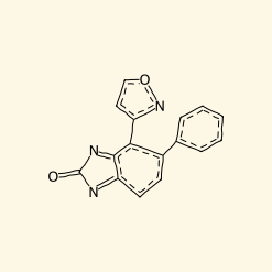 O=C1N=c2ccc(-c3ccccc3)c(-c3ccon3)c2=N1